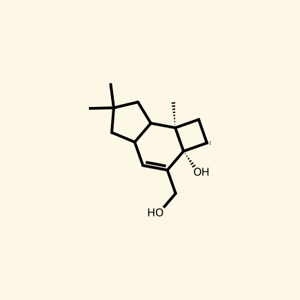 CC1(C)CC2C=C(CO)[C@]3(O)[C]C[C@]3(C)C2C1